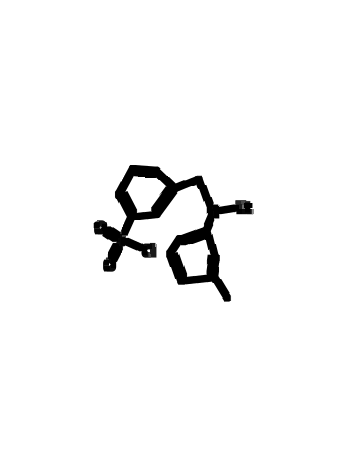 CCN(Cc1cccc(S(=O)(=O)Cl)c1)c1cccc(C)c1